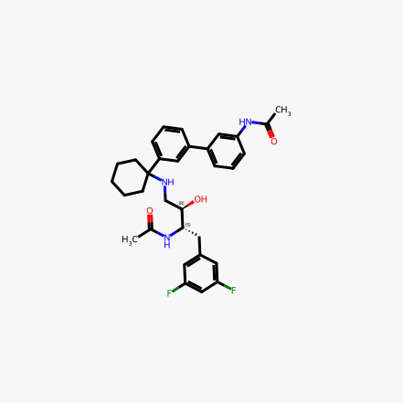 CC(=O)Nc1cccc(-c2cccc(C3(NC[C@@H](O)[C@H](Cc4cc(F)cc(F)c4)NC(C)=O)CCCCC3)c2)c1